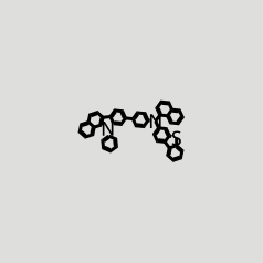 c1ccc(-n2c3cc(-c4ccc(N(c5ccc6c(c5)sc5ccccc56)c5cccc6ccccc56)cc4)ccc3c3ccc4ccccc4c32)cc1